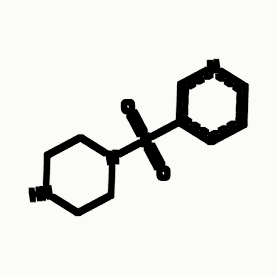 O=S(=O)(c1cccnc1)N1CCNCC1